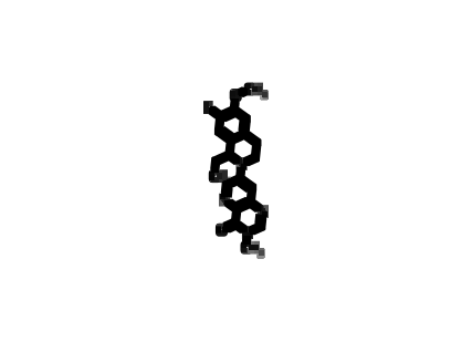 CCC1c2cc(F)c(OC)cc2CCN1c1cnc2c(=O)n(C)cnc2c1